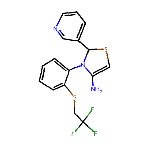 NC1=CSC(c2cccnc2)N1c1ccccc1SCC(F)(F)F